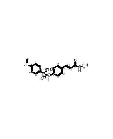 COc1ccc([SH](=O)(P)Nc2ccc(/C=C/C(=O)NO)cc2)cc1